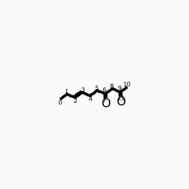 CCC=CCCC(=O)CC(C)=O